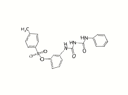 Cc1ccc(S(=O)(=O)Oc2cccc(NC(=O)NC(=O)Nc3ccccc3)c2)cc1